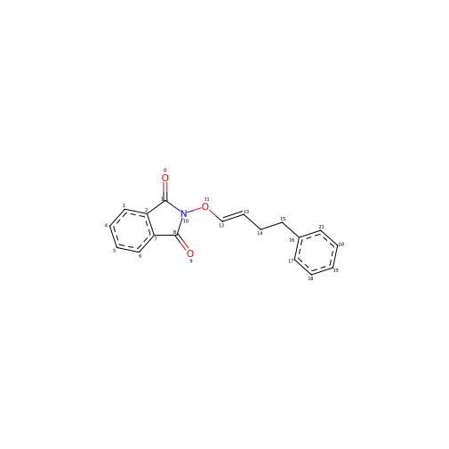 O=C1c2ccccc2C(=O)N1OC=CCCc1ccccc1